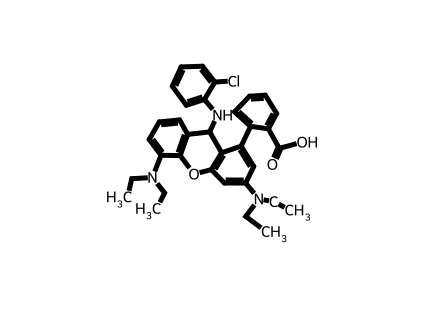 CCN(CC)c1cc2c(c(-c3ccccc3C(=O)O)c1)C(Nc1ccccc1Cl)c1cccc(N(CC)CC)c1O2